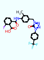 Cc1cc(Cn2nnn(-c3ccc(C(F)(F)F)cc3)c2=O)ccc1NC(=O)c1cccc(I)c1C(=O)O